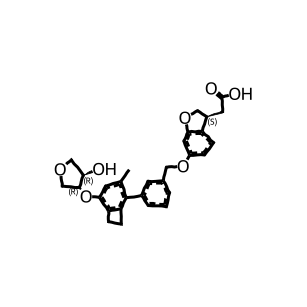 Cc1cc(O[C@@H]2COC[C@H]2O)c2c(c1-c1cccc(COc3ccc4c(c3)OC[C@H]4CC(=O)O)c1)CC2